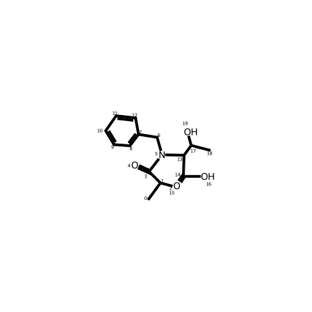 CC(C)C(=O)N(Cc1ccccc1)C(C(=O)O)C(C)O